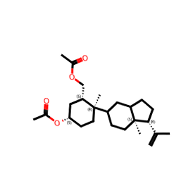 C=C(C)[C@H]1CCC2CC([C@@]3(C)CC[C@H](OC(C)=O)C[C@@H]3COC(C)=O)CC[C@@]21C